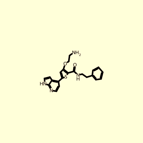 NCCOc1cc(-c2ccnc3[nH]ccc23)sc1C(=O)NCCc1ccccc1